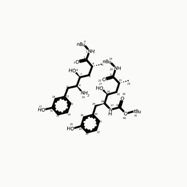 CCCCNC(=O)[C@H](C)C[C@H](O)[C@@H](N)Cc1cccc(O)c1.CCCCNC(=O)[C@H](C)C[C@H](O)[C@H](Cc1cccc(O)c1)NC(=O)OC(C)(C)C